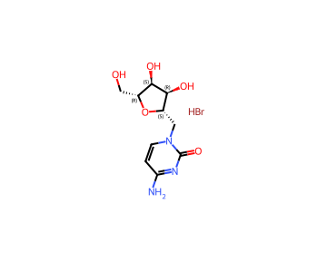 Br.Nc1ccn(C[C@@H]2O[C@H](CO)[C@@H](O)[C@H]2O)c(=O)n1